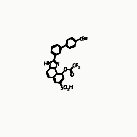 CC(C)(C)c1ccc(-c2cccc(-c3nc4c(ccc5cc(S(=O)(=O)O)cc(OC(=O)C(F)(F)F)c54)[nH]3)c2)cc1